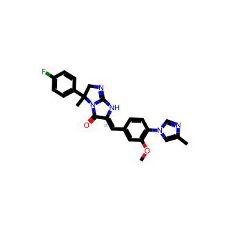 COc1cc(/C=c2\[nH]c3n(c2=O)C(C)(c2ccc(F)cc2)CN=3)ccc1-n1cnc(C)c1